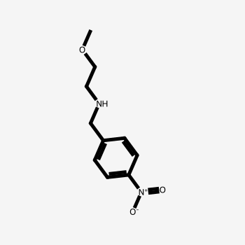 COCCNCc1ccc([N+](=O)[O-])cc1